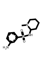 CN1CCCCC1NS(=O)(=O)c1cccc(N)c1